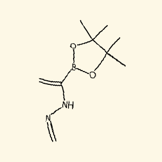 C=NNC(=C)B1OC(C)(C)C(C)(C)O1